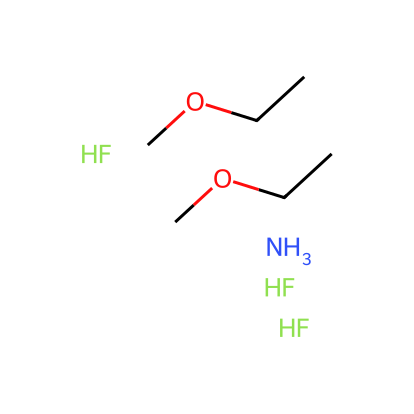 CCOC.CCOC.F.F.F.N